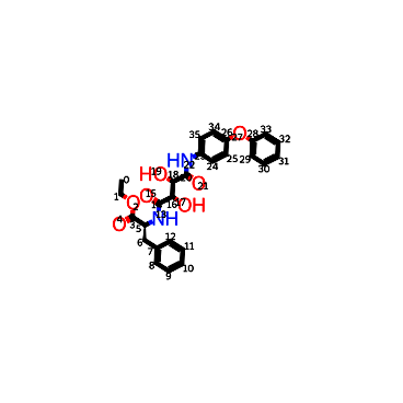 CCOC(=O)[C@H](Cc1ccccc1)NC(=O)C(O)C(O)C(=O)Nc1ccc(Oc2ccccc2)cc1